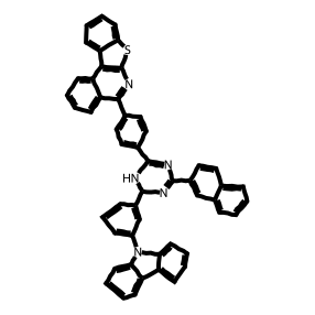 c1cc(C2N=C(c3ccc4ccccc4c3)N=C(c3ccc(-c4nc5sc6ccccc6c5c5ccccc45)cc3)N2)cc(-n2c3ccccc3c3ccccc32)c1